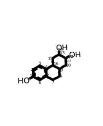 Oc1ccc2c(c1)CCC1CC(O)C(O)CC21